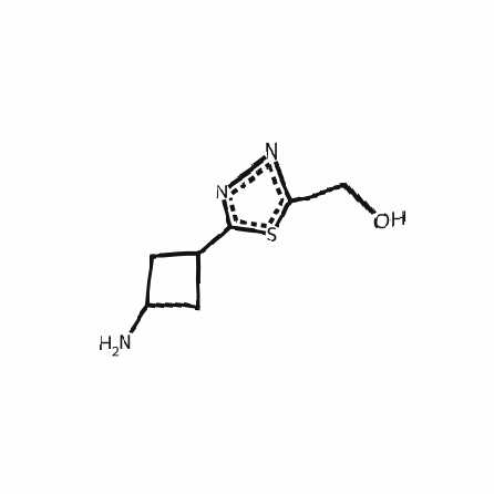 NC1CC(c2nnc(CO)s2)C1